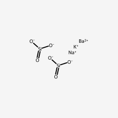 O=[Si]([O-])[O-].O=[Si]([O-])[O-].[Ba+2].[K+].[Na+]